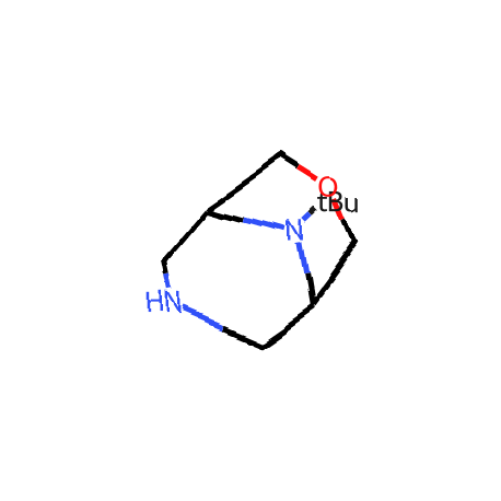 CC(C)(C)N1C2CNCC1COC2